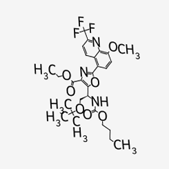 CCCCOC(=O)N[C@@H](COC(C)(C)C)c1oc(-c2ccc(OC)c3nc(C(F)(F)F)ccc23)nc1C(=O)OCC